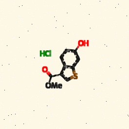 COC(=O)c1csc2cc(O)ccc12.Cl